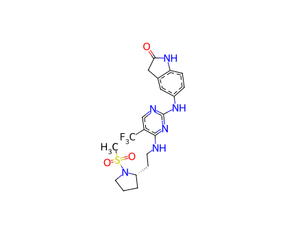 CS(=O)(=O)N1CCC[C@H]1CCNc1nc(Nc2ccc3c(c2)CC(=O)N3)ncc1C(F)(F)F